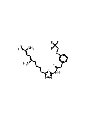 CN/C(N)=C/C=C(\N)CCCCc1nnc(NC(=O)Cc2cccc(OCC(F)(F)F)c2)s1